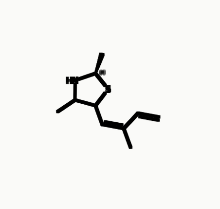 C=CC(C)=CC1S[C@H](C)NC1C